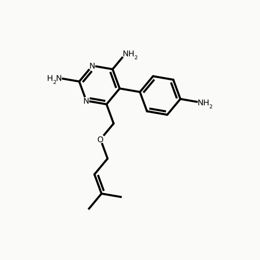 CC(C)=CCOCc1nc(N)nc(N)c1-c1ccc(N)cc1